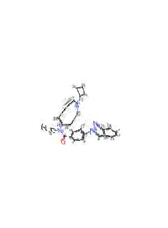 CN(C(=O)c1ccc(-n2cc3ccccc3n2)cc1)C1CCN(C2CCC2)CC1